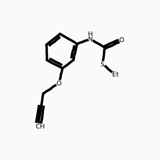 C#CCOc1cccc(NC(=O)SCC)c1